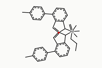 [CH2]=[Hf]([CH3])([CH3])([CH3])([CH2]CC)([CH]1C=Cc2c(-c3ccc(C)cc3)cccc21)[CH]1C=Cc2c(-c3ccc(C)cc3)cccc21